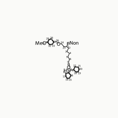 CCCCCCCCCC(CCCCCCCO[SiH](c1ccccc1)c1ccccc1)CCOCc1ccc(OC)cc1